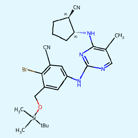 Cc1cnc(Nc2cc(C#N)c(Br)c(CO[Si](C)(C)C(C)(C)C)c2)nc1N[C@@H]1CCC[C@H]1C#N